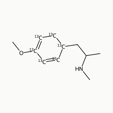 CNC(C)C[13CH]1[13CH]=[13CH][13C](OC)=[13CH][13CH2]1